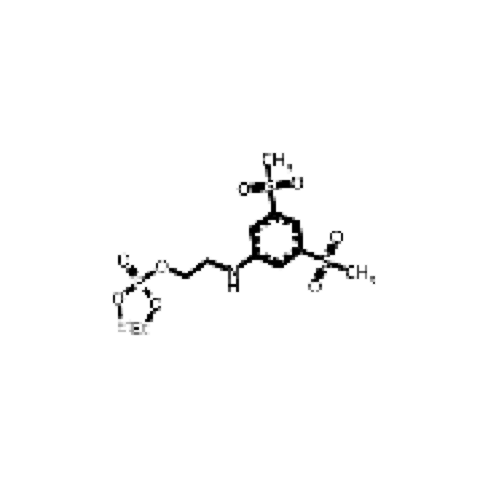 CCOP(=O)(OCC)OCCNc1cc(S(C)(=O)=O)cc(S(C)(=O)=O)c1